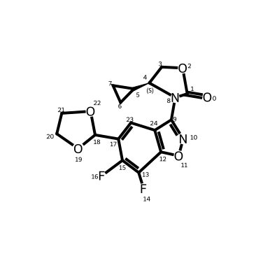 O=C1OC[C@H](C2CC2)N1c1noc2c(F)c(F)c(C3OCCO3)cc12